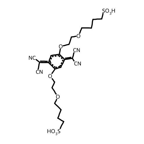 N#CC(C#N)=c1cc(OCCOCCCCS(=O)(=O)O)c(=C(C#N)C#N)cc1OCCOCCCCS(=O)(=O)O